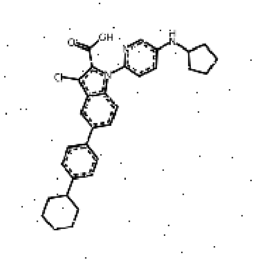 O=C(O)c1c(Cl)c2cc(-c3ccc(C4CCCCC4)cc3)ccc2n1-c1ccc(NC2CCCC2)cn1